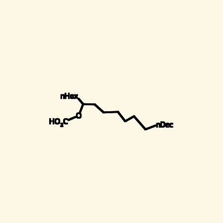 CCCCCCCCCCCCCCCCC(CCCCCC)OC(=O)O